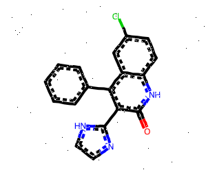 O=c1[nH]c2ccc(Cl)cc2c(-c2ccccc2)c1-c1ncc[nH]1